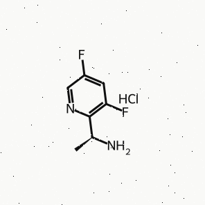 C[C@H](N)c1ncc(F)cc1F.Cl